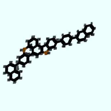 c1ccc2cc(-c3ccc(-c4ccc5c(c4)sc4cc6c7c(cccc7c45)Sc4cc(-c5cccc7ccccc57)ccc4-6)cc3)ccc2c1